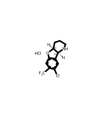 Cl.FC(F)(F)c1cc2c(cc1Cl)[C@@H]1NCCC[C@@H]1O2